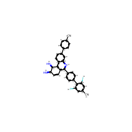 N#Cc1ccc(-c2ccc3c4c(c(-c5ccc(-c6c(F)cc(C#N)cc6F)cc5)nc3c2)C=CC(=N)C4=N)cc1